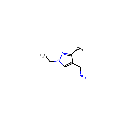 CCn1cc(CN)c(C)n1